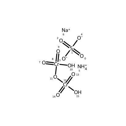 O=S(=O)([O-])[O-].[NH4+].[Na+].[O]=[Cr](=[O])([OH])[O][Cr](=[O])(=[O])[OH]